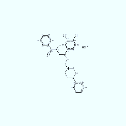 CN(CC(CCN1CCC(c2ccccn2)CC1)c1ccc(Cl)c(Cl)c1)C(=O)c1ccccc1.Cl